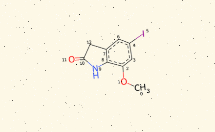 COc1cc(I)cc2c1NC(=O)C2